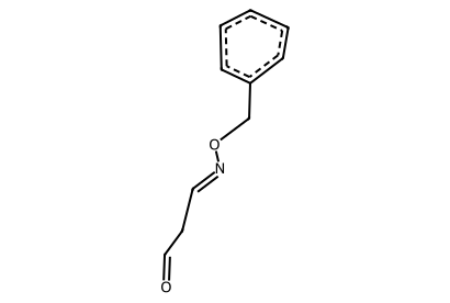 O=CCC=NOCc1ccccc1